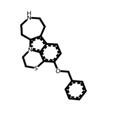 c1ccc(COc2ccc3c4c(n5c3c2SCC5)CCNCC4)cc1